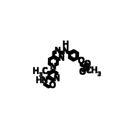 Cc1c(N2CCc3cnc(Nc4ccc(OCS(C)(=O)=O)cc4)nc3C2)cnc2c1NCCO2